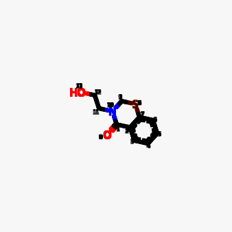 O=C1c2ccccc2SCN1CCO